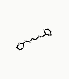 C1CSC(SSCCSSC2NCCS2)N1